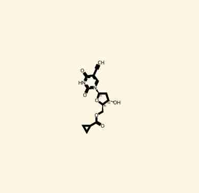 C#Cc1cn([C@H]2C[C@H](O)[C@@H](COC(=O)C3CC3)O2)c(=O)[nH]c1=O